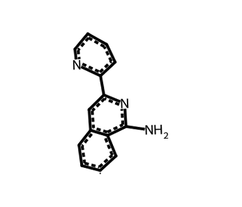 Nc1nc(-c2ccccn2)cc2cc[c]cc12